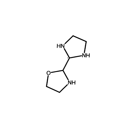 C1CN[C](C2NCCO2)N1